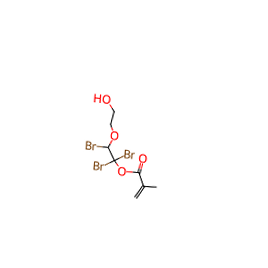 C=C(C)C(=O)OC(Br)(Br)C(Br)OCCO